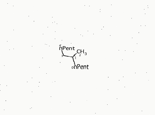 [CH2]CCCCC(C)CCCCCC